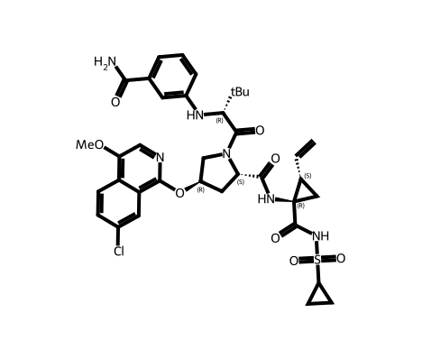 C=C[C@@H]1C[C@]1(NC(=O)[C@@H]1C[C@@H](Oc2ncc(OC)c3ccc(Cl)cc23)CN1C(=O)[C@H](Nc1cccc(C(N)=O)c1)C(C)(C)C)C(=O)NS(=O)(=O)C1CC1